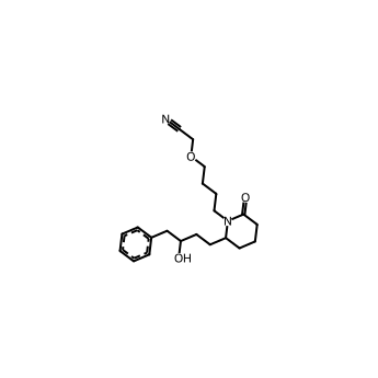 N#CCOCCCCN1C(=O)CCCC1CCC(O)Cc1ccccc1